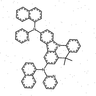 CC1(C)c2ccccc2-n2c3ccc(N(c4ccccn4)c4cccc5ccccc45)cc3c3cc(N(c4ccccn4)c4cccc5ccccc45)cc1c32